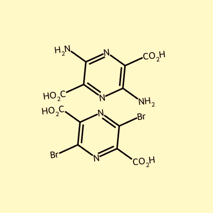 Nc1nc(C(=O)O)c(N)nc1C(=O)O.O=C(O)c1nc(Br)c(C(=O)O)nc1Br